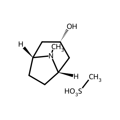 CN1[C@@H]2CC[C@H]1C[C@@H](O)C2.CS(=O)(=O)O